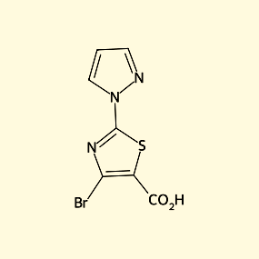 O=C(O)c1sc(-n2cccn2)nc1Br